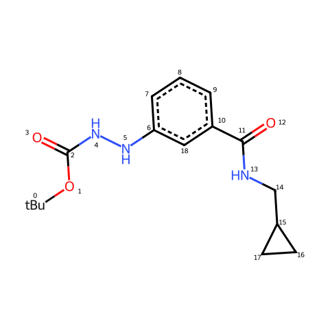 CC(C)(C)OC(=O)NNc1cccc(C(=O)NCC2CC2)c1